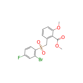 COC(=O)c1c(CS(=O)(=O)c2ccc(F)cc2Br)cccc1OC